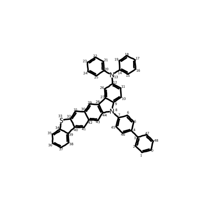 c1ccc(-c2ccc(-n3c4ccc(N(c5ccccc5)c5ccccc5)cc4c4cc5cc6sc7ccccc7c6cc5cc43)cc2)cc1